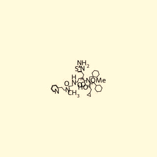 COC1(CN(C(=O)[C@@H](CC(=O)NCC(=O)N(C)CCc2ccccn2)Cc2csc(N)n2)[C@@H](CC2CCCCC2)[C@@H](O)CC2CC2)CCCCC1